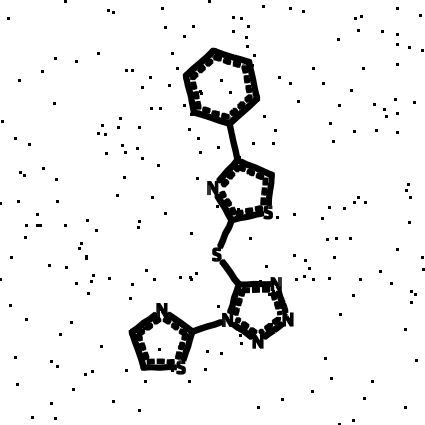 c1ccc(-c2csc(Sc3nnnn3-c3nccs3)n2)cc1